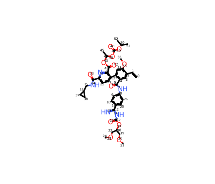 C=Cc1cc(C(=O)Nc2ccc(C(=N)NC(=O)OC(COC)COC)cc2)c(-c2ccc(C(=O)NCC3CC3)nc2C(=O)OC(C)OC(=O)OC(C)C)cc1OC